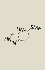 CSC1CCc2n[nH]cc2N1